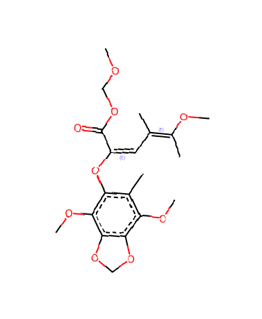 COCOC(=O)/C(=C\C(C)=C(/C)OC)Oc1c(C)c(OC)c2c(c1OC)OCO2